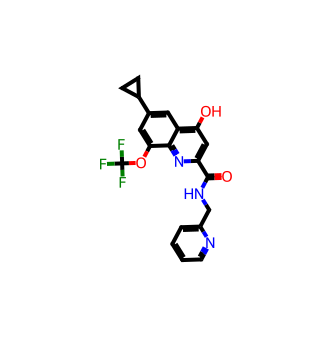 O=C(NCc1ccccn1)c1cc(O)c2cc(C3CC3)cc(OC(F)(F)F)c2n1